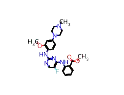 COC(=O)c1ccccc1Nc1nc(Nc2ccc(N3CCN(C)CC3)cc2OC)ncc1F